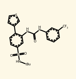 CC(C)(C)NS(=O)(=O)c1ccc(-c2ccsc2)c(NC(=O)Nc2cccc(C(F)(F)F)c2)c1